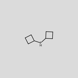 C1CC(PC2CCC2)C1